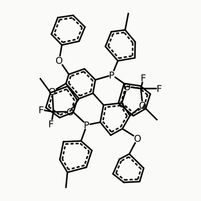 Cc1ccc(P(c2ccc(C)cc2)c2cc(Oc3ccccc3)c3c(c2-c2c(P(c4ccc(C)cc4)c4ccc(C)cc4)cc(Oc4ccccc4)c4c2OC(F)(F)O4)OC(F)(F)O3)cc1